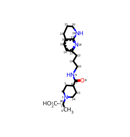 C[C@H](C(=O)O)N1CCC(C(=O)NCCCc2ccc3c(n2)NCCC3)CC1